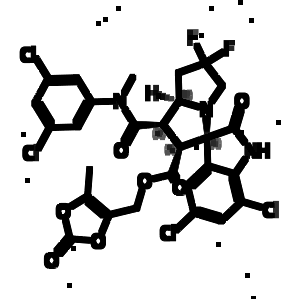 Cc1oc(=O)oc1COC(=O)[C@H]1[C@@H](C(=O)N(C)c2cc(Cl)cc(Cl)c2)[C@H]2CC(F)(F)CN2[C@]12C(=O)Nc1c(Cl)cc(Cl)cc12